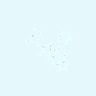 O=C(NCc1ccc(F)cc1F)c1cn2c(c(OCc3ccccc3)c1=O)C(=O)N1C3CCC1(CC3)C2